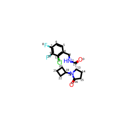 O=C(NCc1ccc(F)c(F)c1Cl)[C@@H]1CCC(=O)N1C1CCC1